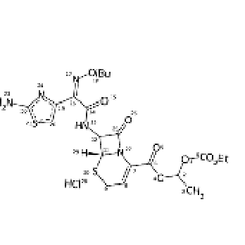 CCOC(=O)OC(C)OC(=O)C1=CCS[C@@H]2C(NC(=O)/C(=N\OCC(C)C)c3csc(N)n3)C(=O)N12.Cl